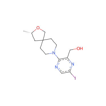 C[C@H]1CC2(CCN(c3ncc(I)nc3CO)CC2)CO1